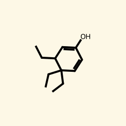 CCC1C=C(O)C=CC1(CC)CC